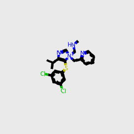 CNC[N+]1(Cc2ccccn2)C=NC(C(C)C)=C1Sc1cc(Cl)cc(Cl)c1